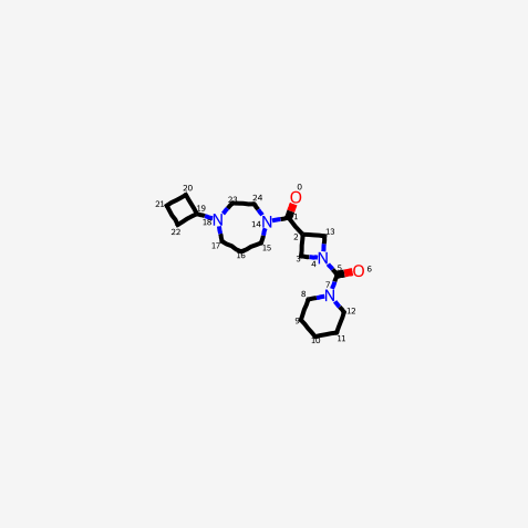 O=C(C1CN(C(=O)N2CCCCC2)C1)N1CCCN(C2CCC2)CC1